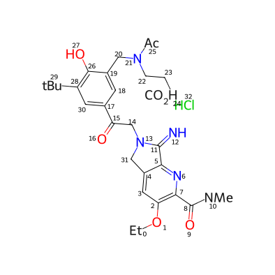 CCOc1cc2c(nc1C(=O)NC)C(=N)N(CC(=O)c1cc(CN(CCC(=O)O)C(C)=O)c(O)c(C(C)(C)C)c1)C2.Cl